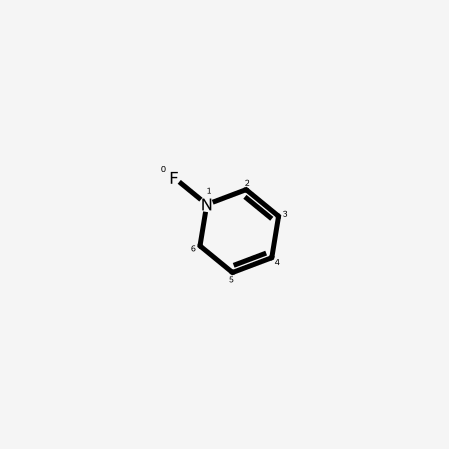 FN1C=CC=CC1